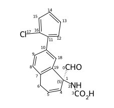 O=C[C@]1(NC(=O)O)C=CCc2ccc(-c3ccccc3Cl)cc21